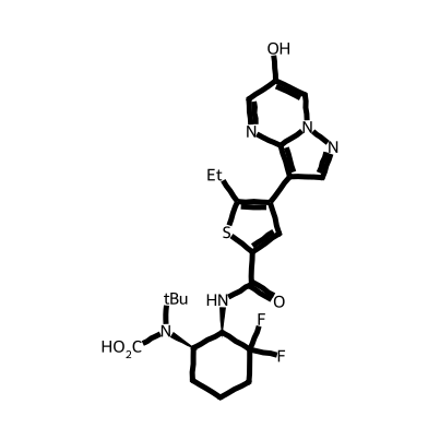 CCc1sc(C(=O)N[C@@H]2[C@H](N(C(=O)O)C(C)(C)C)CCCC2(F)F)cc1-c1cnn2cc(O)cnc12